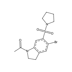 CC(=O)N1CCc2cc(Br)c(S(=O)(=O)N3CCCC3)cc21